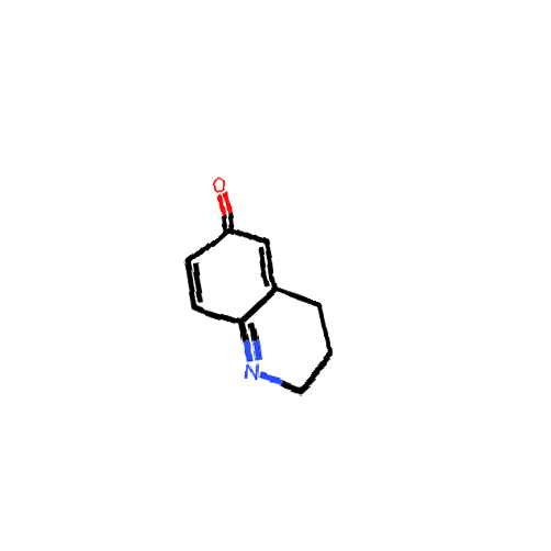 O=C1C=CC2=NCCCC2=C1